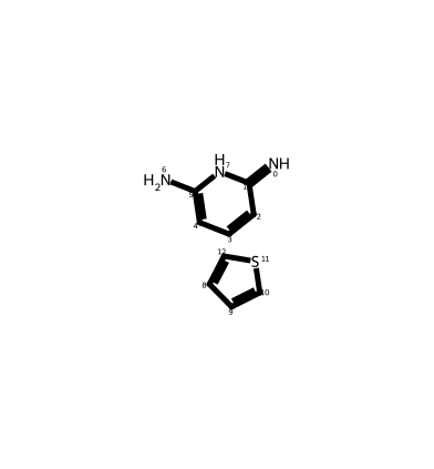 N=c1cccc(N)[nH]1.c1ccsc1